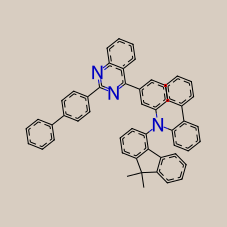 CC1(C)c2ccccc2-c2c(N(c3cccc(-c4nc(-c5ccc(-c6ccccc6)cc5)nc5ccccc45)c3)c3ccccc3-c3ccccc3)cccc21